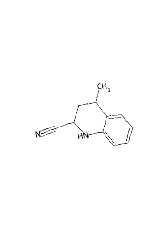 CC1CC(C#N)Nc2ccccc21